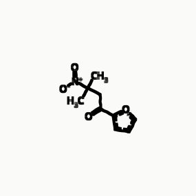 CC(C)(CC(=O)c1ccco1)[N+](=O)[O-]